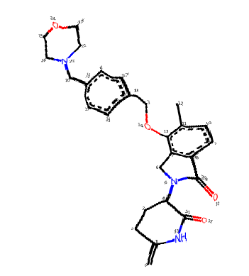 C=C1CCC(N2Cc3c(ccc(C)c3OCc3ccc(CN4CCOCC4)cc3)C2=O)C(=O)N1